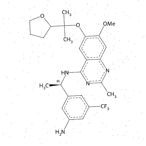 COc1cc2nc(C)nc(N[C@H](C)c3cc(N)cc(C(F)(F)F)c3)c2cc1OC(C)(C)C1CCCO1